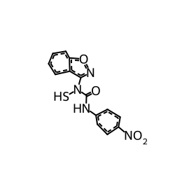 O=C(Nc1ccc([N+](=O)[O-])cc1)N(S)c1noc2ccccc12